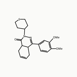 COc1ccc(C2=NN(C3CCSCC3)C(=O)C3CC=CCC23)cc1OC